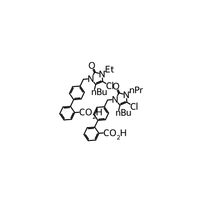 CCCCc1c(Cl)n(CC)c(=O)n1Cc1ccc(-c2ccccc2C(=O)O)cc1.CCCCc1c(Cl)n(CCC)c(=O)n1Cc1ccc(-c2ccccc2C(=O)O)cc1